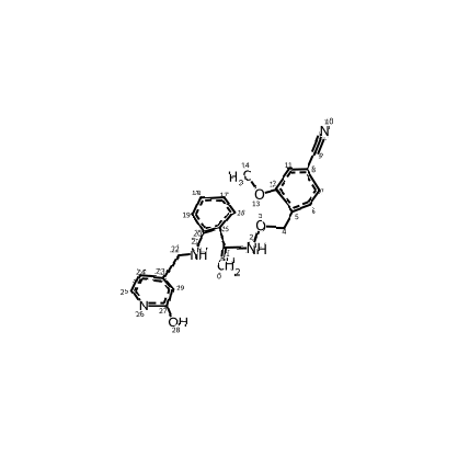 C=C(NOCc1ccc(C#N)cc1OC)c1ccccc1NCc1ccnc(O)c1